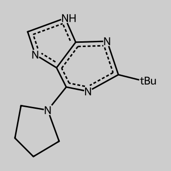 CC(C)(C)c1nc(N2CCCC2)c2nc[nH]c2n1